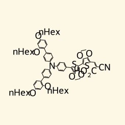 CCCCCCOc1ccc(-c2ccc(N(c3ccc(-c4ccc(OCCCCCC)cc4OCCCCCC)cc3)c3ccc(-c4sc(-c5sc(C=C(C#N)C(=O)O)c6c5OCCO6)c5c4OCCO5)cc3)cc2)c(OCCCCCC)c1